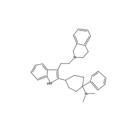 CN(C)C1(c2ccccc2)CCC(c2[nH]c3ccccc3c2CCN2CCc3ccccc3C2)CC1